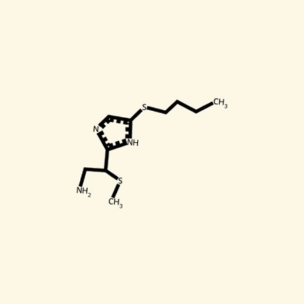 CCCCSc1cnc(C(CN)SC)[nH]1